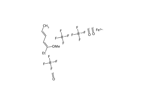 CC=CC=C(CC)OC.F[B-](F)(F)F.F[B-](F)(F)F.F[B-](F)(F)F.[C]=O.[C]=O.[C]=O.[Fe+3]